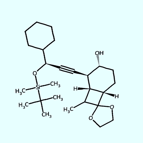 CC1[C@@H]2[C@@H](C#C[C@@H](O[Si](C)(C)C(C)(C)C)C3CCCCC3)[C@H](O)CC[C@@H]2C12OCCO2